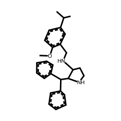 COc1ccc(C(C)C)cc1CNC1CCNC1C(c1ccccc1)c1ccccc1